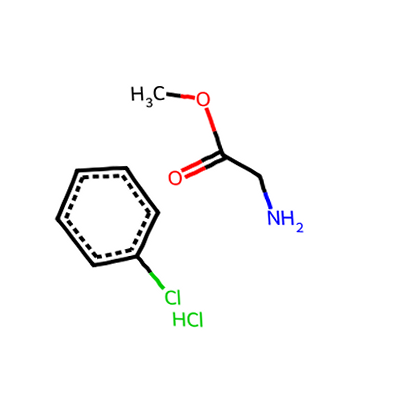 COC(=O)CN.Cl.Clc1ccccc1